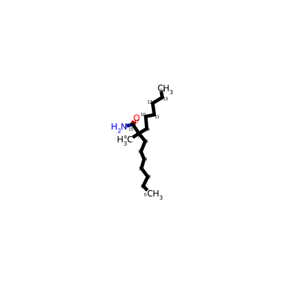 CCCCCCCC(C)(CCCCCC)C(N)=O